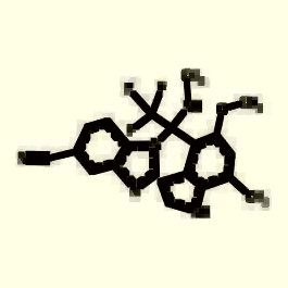 CNC(c1c(OC)cc(C)c2[nH]ccc12)(n1cnc2cc(C#N)ccc21)C(F)(F)F